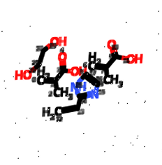 C=C(C)C(=O)O.C=C(C)C(=O)O.C=Cc1ncc[nH]1.OCCO